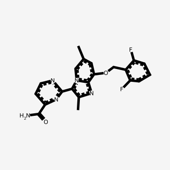 Cc1cc(OCc2c(F)cccc2F)c2nc(C)c(-c3nccc(C(N)=O)n3)n2c1